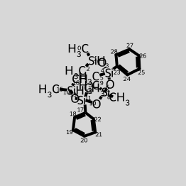 C[SiH](C)O[Si](C)(O[Si](C)(C)O[Si](C)(O[SiH](C)C)c1ccccc1)c1ccccc1